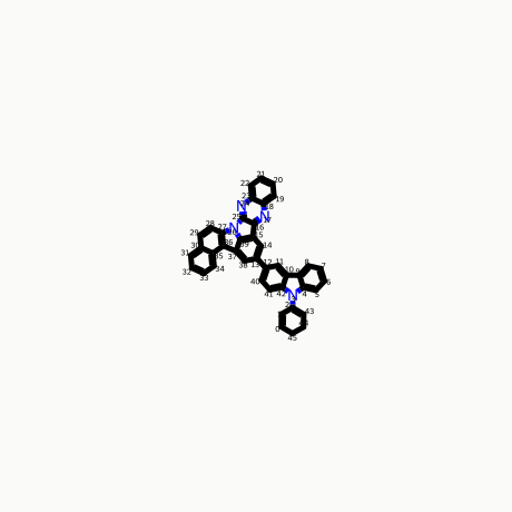 C1=CC(n2c3ccccc3c3cc(-c4cc5c6nc7ccccc7nc6n6c7ccc8ccccc8c7c(c4)c56)ccc32)=CCC1